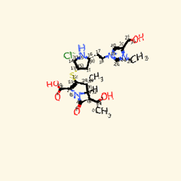 C[C@@H](O)[C@H]1C(=O)N2C(C(=O)O)=C(S[C@@H]3CN[C@H](CC[n+]4cc(CO)n(C)c4)C3)[C@H](C)[C@H]12.[Cl-]